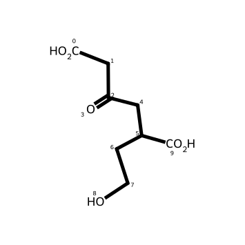 O=C(O)CC(=O)CC(CCO)C(=O)O